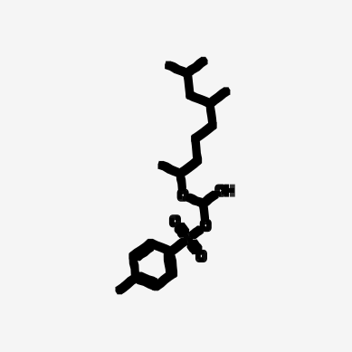 Cc1ccc(S(=O)(=O)OC(O)OC(C)CCCC(C)CC(C)C)cc1